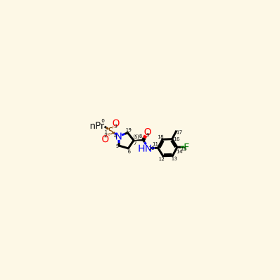 CCCS(=O)(=O)N1CC[C@H](C(=O)Nc2ccc(F)c(C)c2)C1